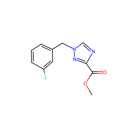 COC(=O)c1ncn(Cc2cccc(F)c2)n1